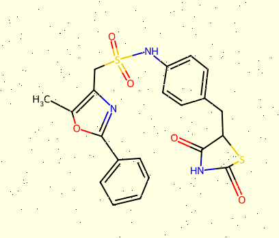 Cc1oc(-c2ccccc2)nc1CS(=O)(=O)Nc1ccc(CC2SC(=O)NC2=O)cc1